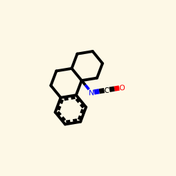 O=C=NC12CCCCC1CCc1ccccc12